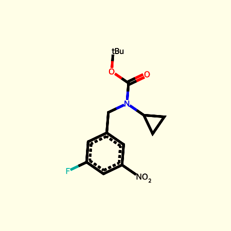 CC(C)(C)OC(=O)N(Cc1cc(F)cc([N+](=O)[O-])c1)C1CC1